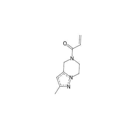 C=CC(=O)N1CCn2nc(C)cc2C1